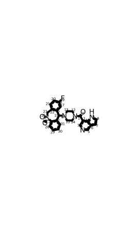 O=C(c1cncc2cc[nH]c12)N1CCN(C2c3cc(F)ccc3CS(=O)(=O)c3ccccc32)CC1